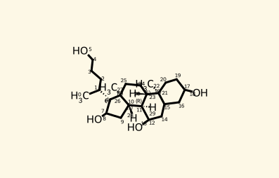 CC(CCCO)[C@H]1C(O)C[C@H]2[C@@H]3C(O)CC4CC(O)CC[C@]4(C)[C@H]3CC[C@]12C